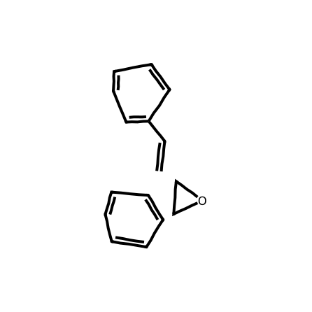 C1CO1.C=Cc1ccccc1.c1ccccc1